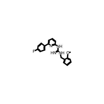 COc1ccccc1CNC(=N)Nc1cccc(-c2ccc(F)cc2)n1